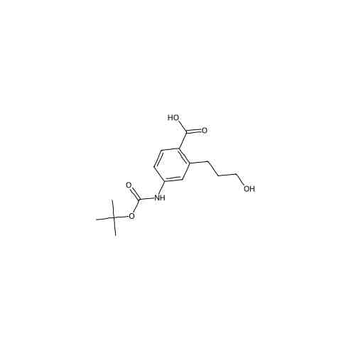 CC(C)(C)OC(=O)Nc1ccc(C(=O)O)c(CCCO)c1